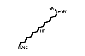 CCCCCCCCCCCCCCCCCCCCCCP(CCC)CCC.F